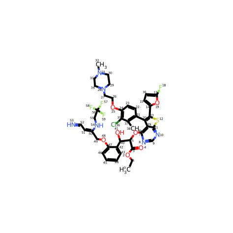 CCOC(=O)C(Oc1ncnc2sc(-c3ccc(F)o3)c(-c3ccc(OCCN4CCN(C)CC4)c(Cl)c3C)c12)C(O)c1ccccc1OC/C(=C/C=N)NCC(F)(F)F